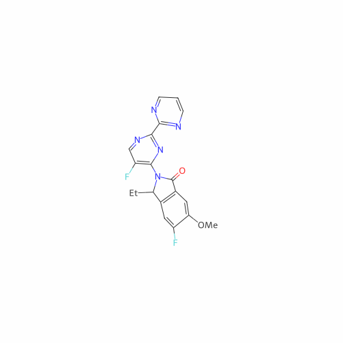 CCC1c2cc(F)c(OC)cc2C(=O)N1c1nc(-c2ncccn2)ncc1F